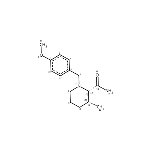 COc1ccc(CN2CCC[C@@H](C)[C@H]2C(N)=O)cc1